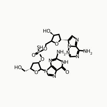 Nc1nc2c(ncn2C2O[C@H](CO)C[C@H]2OP(=O)(S)OCC2O[C@@H](c3cnc4c(N)ncnn34)C[C@@H]2O)c(=O)[nH]1